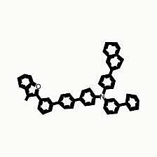 Cc1c(-c2cccc(-c3ccc(-c4ccc(N(c5ccc(-c6ccc7ccccc7c6)cc5)c5cccc(-c6ccccc6)c5)cc4)cc3)c2)oc2ccccc12